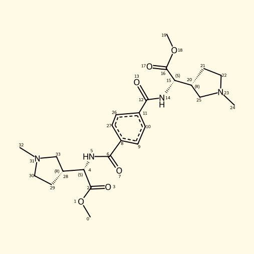 COC(=O)[C@@H](NC(=O)c1ccc(C(=O)N[C@H](C(=O)OC)[C@@H]2CCN(C)C2)cc1)[C@@H]1CCN(C)C1